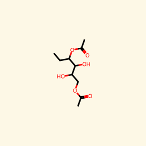 CCC(OC(C)=O)C(O)C(O)COC(C)=O